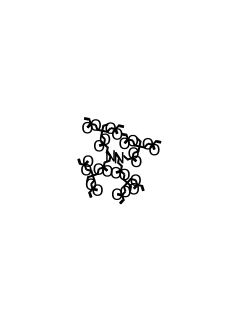 C=CC(=O)OCC(CC)(COC(=O)C=C)COC(=O)CCN(CCC(=O)OCC(CC)(COC(=O)C=C)COC(=O)C=C)CN(CCC(=O)OCC(CC)(COC(=O)C=C)COC(=O)C=C)CCC(=O)OCC(CC)(COC(=O)C=C)COC(=O)C=C